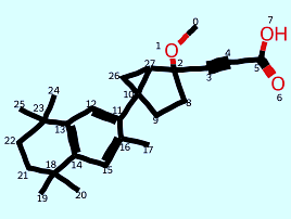 COC1(C#CC(=O)O)CCC2(c3cc4c(cc3C)C(C)(C)CCC4(C)C)CC12